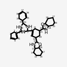 C1=CCCC(C2NC(C3=CC(C4NC5CCCCC5O4)CC(C4NC5CCCCC5O4)C3)NC(C3C=CC=CC3)N2)=C1